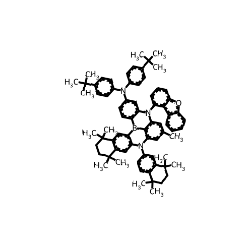 Cc1cc2c3c(c1)N(c1cccc4oc5ccccc5c14)c1cc(N(c4ccc(C(C)(C)C)cc4)c4ccc(C(C)(C)C)cc4)ccc1B3c1cc3c(cc1N2c1ccc2c(c1)C(C)(C)CCC2(C)C)C(C)(C)CCC3(C)C